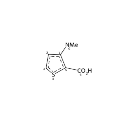 CNc1ccsc1C(=O)O